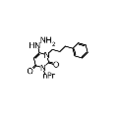 CCCn1c(=O)cc(NN)n(CCCc2ccccc2)c1=O